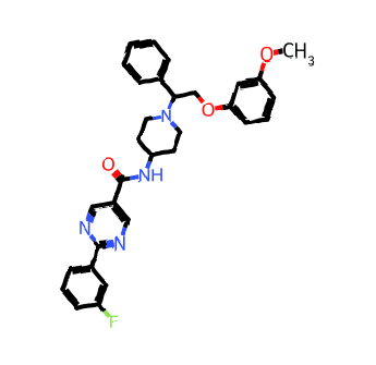 COc1cccc(OCC(c2ccccc2)N2CCC(NC(=O)c3cnc(-c4cccc(F)c4)nc3)CC2)c1